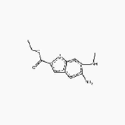 CCOC(=O)c1cc2cc(N)c(NC)cc2s1